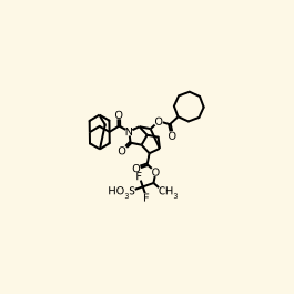 CC(OC(=O)C1C2CC3C1C(=O)N(C(=O)C14CC5CC(CC(C5)C1)C4)C3C2OC(=O)C1CCCCCCC1)C(F)(F)S(=O)(=O)O